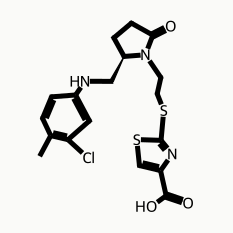 Cc1ccc(NC[C@H]2CCC(=O)N2CCSc2nc(C(=O)O)cs2)cc1Cl